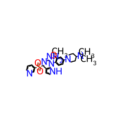 COc1cc(N2CCC(N(C)C)CC2)ccc1N1c2[nH]ccc2C(S(=O)(=O)c2cccnc2)=NC1N